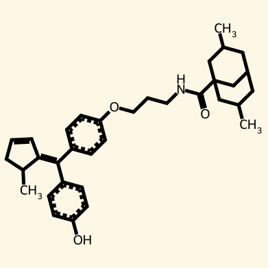 CC1CC2CC(C)CC(C(=O)NCCCOc3ccc(/C(=C4\C=CCC4C)c4ccc(O)cc4)cc3)(C1)C2